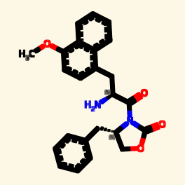 COc1ccc(C[C@H](N)C(=O)N2C(=O)OC[C@@H]2Cc2ccccc2)c2ccccc12